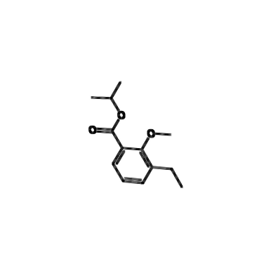 CCc1cccc(C(=O)OC(C)C)c1OC